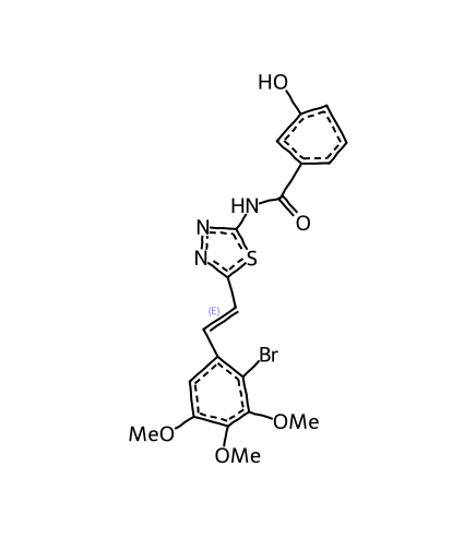 COc1cc(/C=C/c2nnc(NC(=O)c3cccc(O)c3)s2)c(Br)c(OC)c1OC